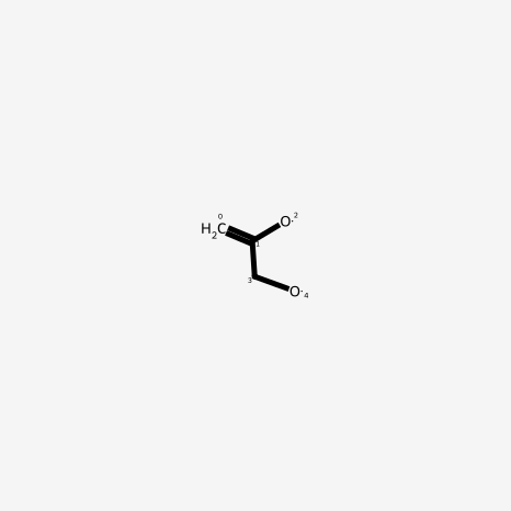 C=C([O])C[O]